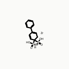 O=P(O)(O)C1(P(=O)(O)O)C=CC(c2ccccc2)=CC1.[Zr]